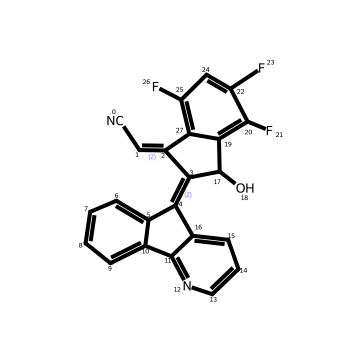 N#C/C=C1/C(=C2\c3ccccc3-c3ncccc32)C(O)c2c(F)c(F)cc(F)c21